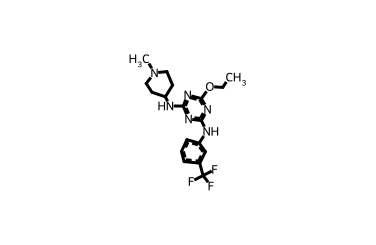 CCOc1nc(Nc2cccc(C(F)(F)F)c2)nc(NC2CCN(C)CC2)n1